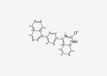 ClC1=NC(c2ccc(-c3cccc4ccccc34)cc2)=C2C=CC=CC2N1